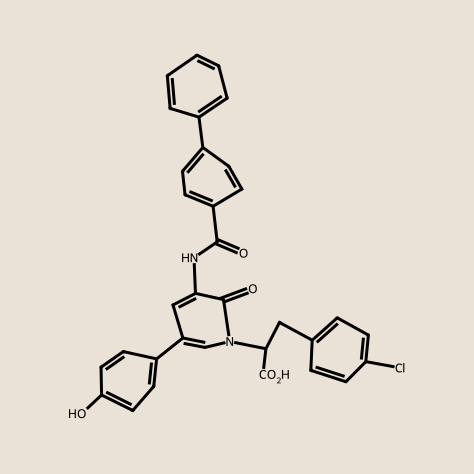 O=C(Nc1cc(-c2ccc(O)cc2)cn(C(Cc2ccc(Cl)cc2)C(=O)O)c1=O)c1ccc(-c2ccccc2)cc1